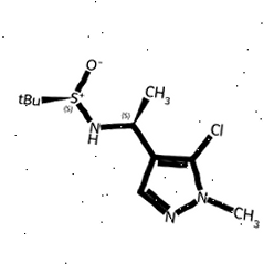 C[C@H](N[S@+]([O-])C(C)(C)C)c1cnn(C)c1Cl